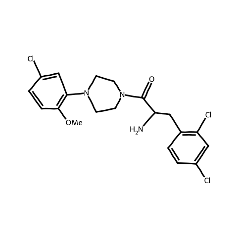 COc1ccc(Cl)cc1N1CCN(C(=O)C(N)Cc2ccc(Cl)cc2Cl)CC1